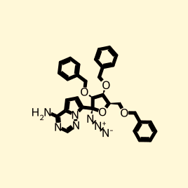 [N-]=[N+]=N[C@@]1(c2ccc3c(N)ncnn23)O[C@H](COCc2ccccc2)[C@@H](OCc2ccccc2)[C@H]1OCc1ccccc1